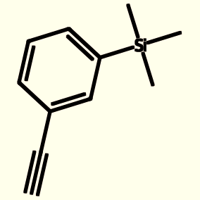 C#Cc1cccc([Si](C)(C)C)c1